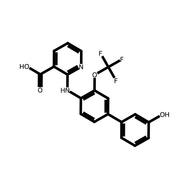 O=C(O)c1cccnc1Nc1ccc(-c2cccc(O)c2)cc1OC(F)(F)F